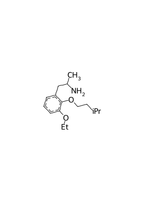 CCOc1cccc(CC(C)N)c1OCCC(C)C